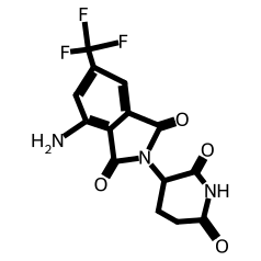 Nc1cc(C(F)(F)F)cc2c1C(=O)N(C1CCC(=O)NC1=O)C2=O